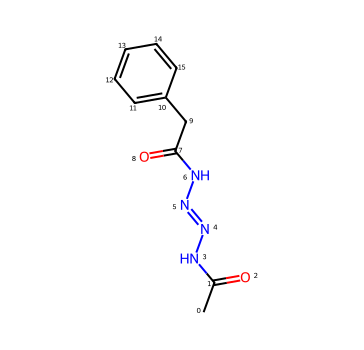 CC(=O)NN=NNC(=O)Cc1ccccc1